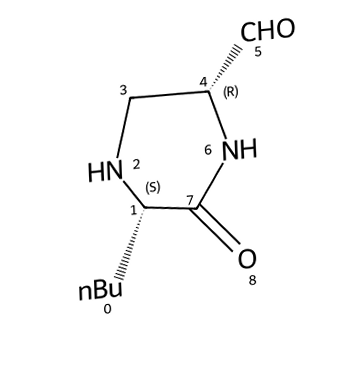 CCCC[C@@H]1NC[C@H](C=O)NC1=O